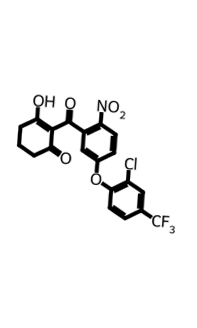 O=C1CCCC(O)=C1C(=O)c1cc(Oc2ccc(C(F)(F)F)cc2Cl)ccc1[N+](=O)[O-]